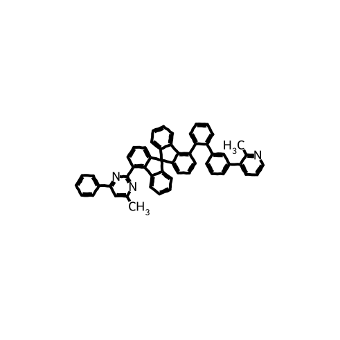 Cc1cc(-c2ccccc2)nc(-c2cccc3c2-c2ccccc2C32c3ccccc3-c3c(-c4ccccc4-c4cccc(-c5cccnc5C)c4)cccc32)n1